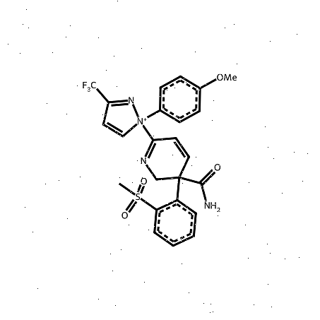 COc1ccc([N+]2(C3=NCC(C(N)=O)(c4ccccc4S(C)(=O)=O)C=C3)C=CC(C(F)(F)F)=N2)cc1